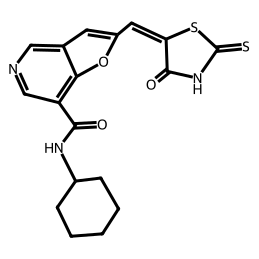 O=C1NC(=S)SC1=Cc1cc2cncc(C(=O)NC3CCCCC3)c2o1